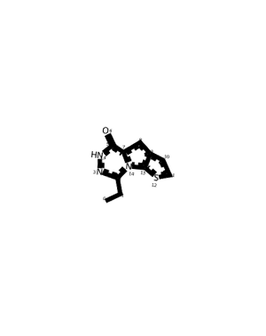 CCc1n[nH]c(=O)c2cc3ccsc3n12